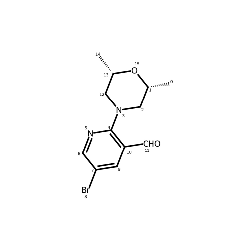 C[C@@H]1CN(c2ncc(Br)cc2C=O)C[C@H](C)O1